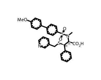 COc1ccc(-c2ccc(S(=O)(=O)N(C)[C@@H](C(=O)O)[C@H](SCc3cccnc3)c3ccccc3)cc2)cc1